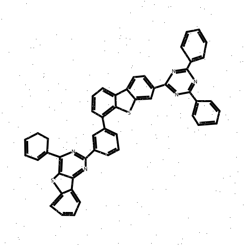 C1=CCCC(c2nc(-c3cccc(-c4cccc5c4sc4cc(-c6nc(-c7ccccc7)nc(-c7ccccc7)n6)ccc45)c3)nc3c2sc2ccccc23)=C1